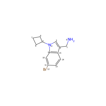 NCc1cn(C2CCC2)c2cc(Br)ccc12